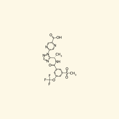 C[C@H](NC(=O)c1cc(OC(F)(F)F)cc(S(C)(=O)=O)c1)c1ncnn1-c1cnc(C(=O)O)cn1